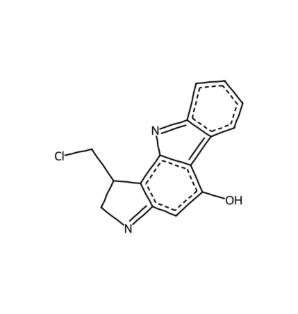 Oc1cc2c(c3c1=c1ccccc1=N3)C(CCl)CN=2